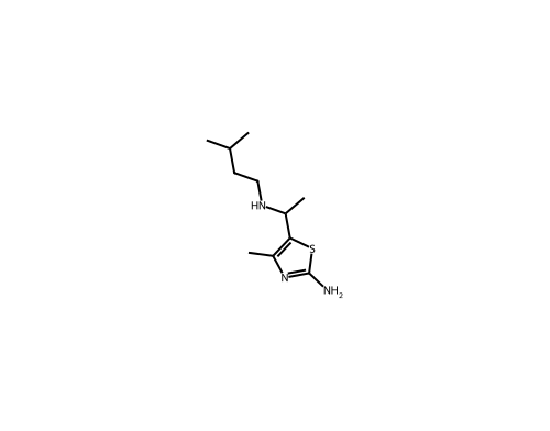 Cc1nc(N)sc1C(C)NCCC(C)C